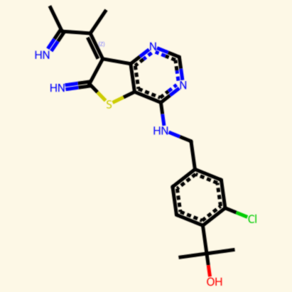 CC(=N)/C(C)=C1\C(=N)Sc2c(NCc3ccc(C(C)(C)O)c(Cl)c3)ncnc21